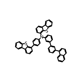 c1cc(-c2cccc(N(c3ccc(-c4cccc5c4sc4ccccc45)cc3)c3cccc4c3sc3ccccc34)c2)cc(-c2cccc3ccccc23)c1